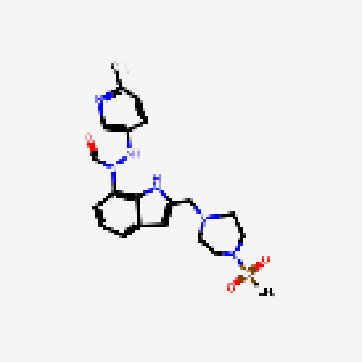 Cc1ccc(NN(C=O)c2cccc3cc(CN4CCN(S(C)(=O)=O)CC4)[nH]c23)cn1